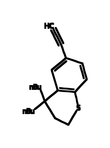 C#Cc1ccc2c(c1)C(CCCC)(CCCC)CCS2